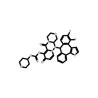 O=C(Oc1c2n(ccc1=O)N(C1c3ccccc3-c3sccc3-c3c1ccc(F)c3F)C1COCCN1C2=O)OC1CCOCC1